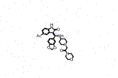 CC(=O)c1ccc2c(c1)/C(=C(/NC1CCN(CC(=O)N3CCOCC3)CC1)c1ccc3c(c1)OCO3)C(=O)N2